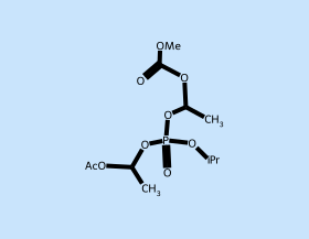 COC(=O)OC(C)OP(=O)(OC(C)C)OC(C)OC(C)=O